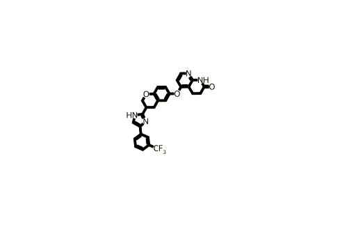 O=C1CCc2c(Oc3ccc4c(c3)CC(c3nc(-c5cccc(C(F)(F)F)c5)c[nH]3)CO4)ccnc2N1